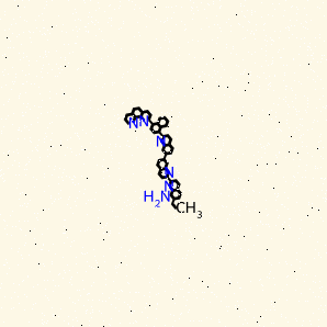 C/C=C\c1ccc2ccc(-c3ccc4ccc(-c5ccc6ccc(-c7ccc(-c8ccc9ccc%10cccnc%10c9n8)c8ccccc78)nc6c5)cc4n3)nc2c1N